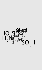 Nc1ccc2c(S(=O)(=O)O)cccc2c1S(=O)(=O)O.[NaH].[NaH]